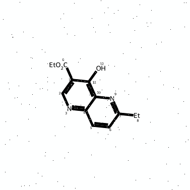 CCOC(=O)c1cnc2ccc(CC)nc2c1O